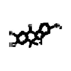 CCc1cc2c(cc1O)C(C)(C)c1[nH]c3cc(N)ccc3c1C2=O